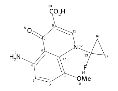 COc1ccc(N)c2c(=O)c(C(=O)O)cn(C3(F)CC3)c12